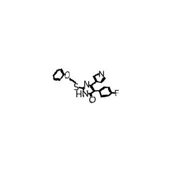 O=c1[nH]c(SCCOc2ccccc2)nc(-c2ccncc2)c1-c1ccc(F)cc1